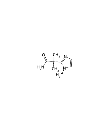 Cn1ccnc1C(C)(C)C(N)=O